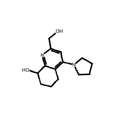 OCc1cc(N2CCCC2)c2c(n1)C(O)CCC2